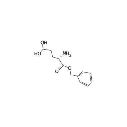 N[C@@H](CCC(O)O)C(=O)OCc1ccccc1